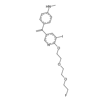 C=C(c1ccc(NC)cc1)c1cnc(OCCOCCOCCF)c(I)c1